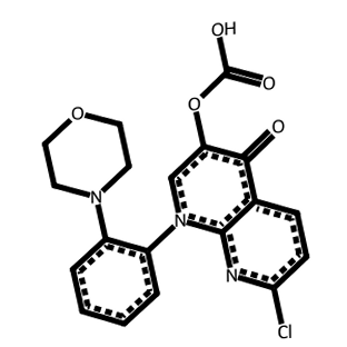 O=C(O)Oc1cn(-c2ccccc2N2CCOCC2)c2nc(Cl)ccc2c1=O